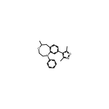 Cc1noc(C)c1-c1ccc2c(c1)N(c1ccccc1)CCOC(C)C2